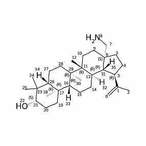 C=C(C)[C@@H]1CC[C@]2(CN)CC[C@]3(C)[C@H](CC[C@@H]4[C@@]5(C)CC[C@H](O)C(C)(C)[C@@H]5CC[C@]43C)[C@@H]12